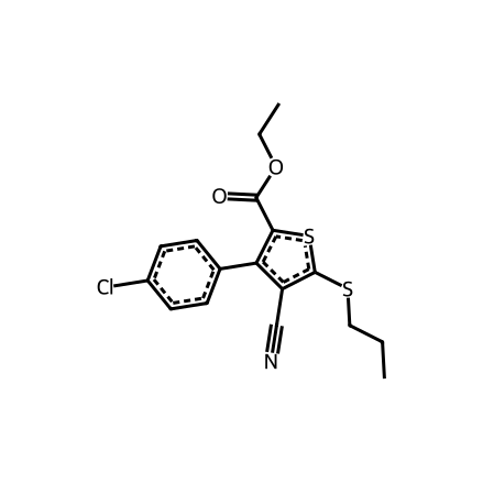 CCCSc1sc(C(=O)OCC)c(-c2ccc(Cl)cc2)c1C#N